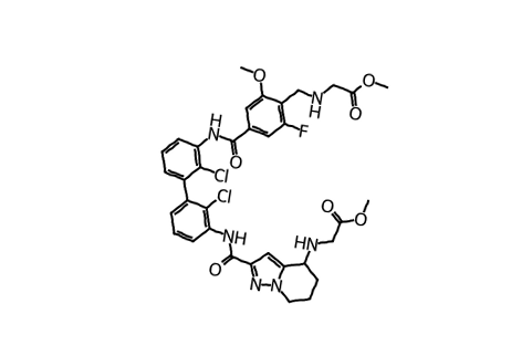 COC(=O)CNCc1c(F)cc(C(=O)Nc2cccc(-c3cccc(NC(=O)c4cc5n(n4)CCCC5NCC(=O)OC)c3Cl)c2Cl)cc1OC